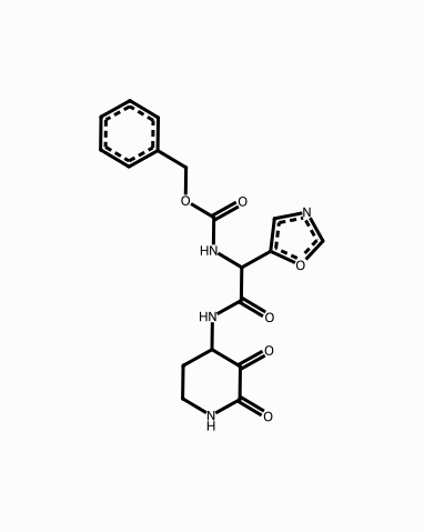 O=C(NC(C(=O)NC1CCNC(=O)C1=O)c1cnco1)OCc1ccccc1